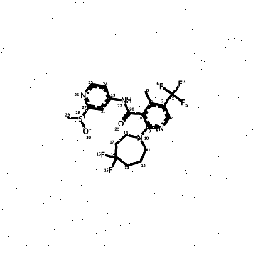 Cc1c(C(F)(F)F)cnc(N2CCCC(F)(F)CC2)c1C(=O)Nc1ccnc([S+](C)[O-])c1